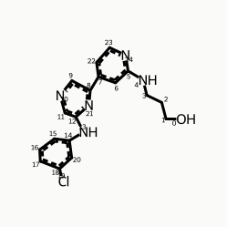 OCCCNc1cc(-c2cncc(Nc3cccc(Cl)c3)n2)ccn1